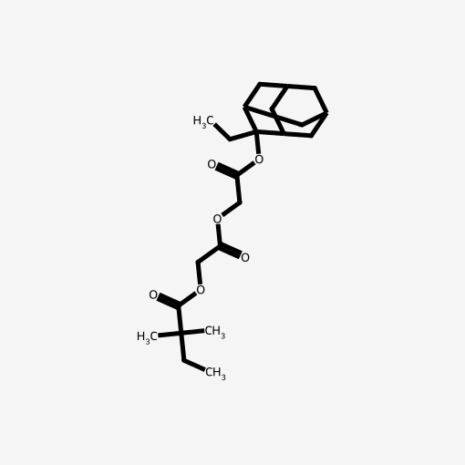 CCC(C)(C)C(=O)OCC(=O)OCC(=O)OC1(CC)C2CC3CC(C2)CC1C3